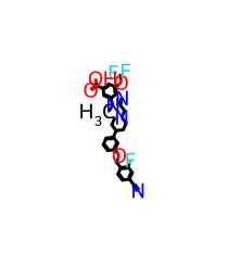 Cn1c(CN2CCC(c3cccc(OCc4ccc(C#N)cc4F)c3)CC2)nc2c(OC(F)F)cc(C(=O)O)cc21